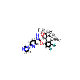 COc1c([C@H]2[C@H](C(=O)Nc3ccc(-n4ccnc4)nc3)O[C@@](C)(C(F)(F)F)[C@H]2C)ccc(F)c1F